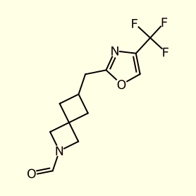 O=CN1CC2(CC(Cc3nc(C(F)(F)F)co3)C2)C1